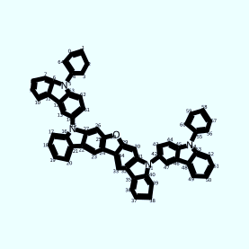 C1=CCCC(n2c3ccccc3c3cc(-n4c5ccccc5c5cc6c(cc54)oc4cc5c(cc46)c4ccccc4n5-c4ccc5c(c4)c4ccccc4n5-c4ccccc4)ccc32)=C1